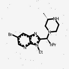 CCC[C@@H](c1nc2cc(Br)cnc2n1CC)N1CCN[C@@H](C)C1